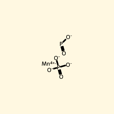 O=P([O-])([O-])[O-].O=P[O-].[Mn+4]